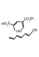 C=CC=CC=CC#N.CCOC(=O)C(C=C(C)C(=O)O)=CO